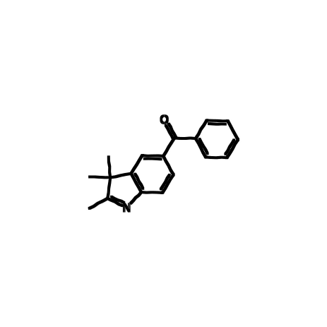 CC1=Nc2ccc(C(=O)c3ccccc3)cc2C1(C)C